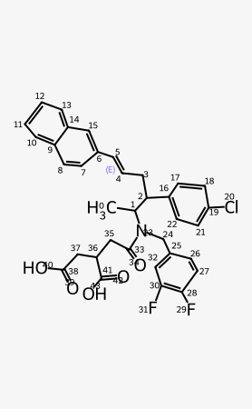 CC(C(C/C=C/c1ccc2ccccc2c1)c1ccc(Cl)cc1)N(Cc1ccc(F)c(F)c1)C(=O)CC(CC(=O)O)C(=O)O